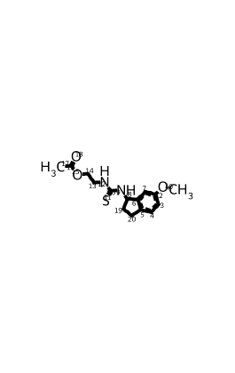 COc1ccc2c(c1)C(NC(=S)NCCOC(C)=O)CC2